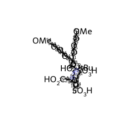 C=C(/C=C(/C=C/C=C1\N(CCCS(=O)(=O)O)c2ccc(S(=O)(=O)O)cc2C1(C)CCCC(=O)O)c1ccc(N(CCOCCOCCOCCOC)CCOCCOCCOCCOC)cc1O)C(C)(C)C